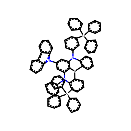 c1ccc(N2c3cc(-n4c5ccccc5c5ccccc54)cc4c3B(c3ccccc3N4c3cccc([Si](c4ccccc4)(c4ccccc4)c4ccccc4)c3)c3cccc([Si](c4ccccc4)(c4ccccc4)c4ccccc4)c32)cc1